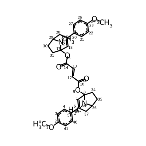 COc1ccc(C2=CC3(OC(=O)/C=C/C(=O)OC45C=C(c6ccc(OC)cc6)CC(CC4)N5C)CCC(C2)N3C)cc1